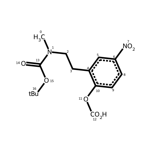 CN(CCc1cc([N+](=O)[O-])ccc1OC(=O)O)C(=O)OC(C)(C)C